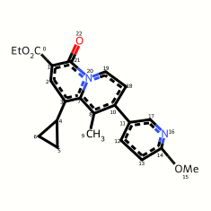 CCOC(=O)c1cc(C2CC2)c2c(C)c(-c3ccc(OC)nc3)ccn2c1=O